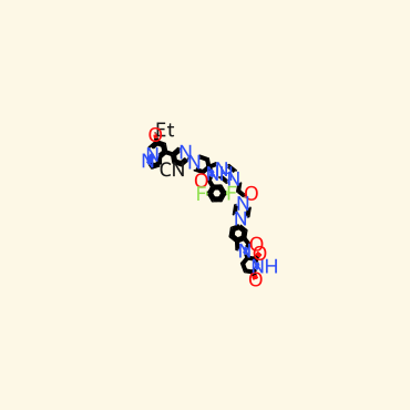 CCOc1cc(-c2ccc(N3CCC(CN4CCN(CCC(=O)N5CCN(c6ccc7c(c6)C(=O)N(C6CCC(=O)NC6=O)C7)CC5)CC4)(NC(=O)c4cc(F)ccc4F)CC3)nc2)c2c(C#N)cnn2c1